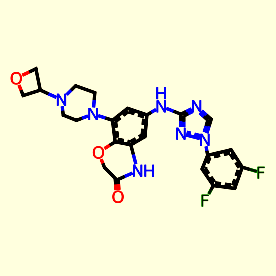 O=C1COc2c(cc(Nc3ncn(-c4cc(F)cc(F)c4)n3)cc2N2CCN(C3COC3)CC2)N1